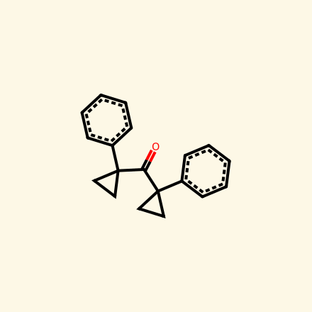 O=C(C1(c2ccccc2)CC1)C1(c2ccccc2)CC1